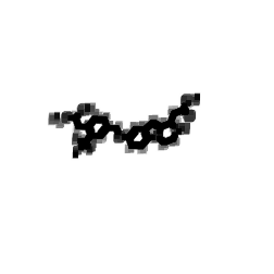 CC(C)Cc1ccc(COc2ccc3c(c2)cc2n3CCNC2CC(=O)O)cc1C(F)(F)F